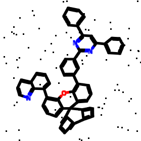 c1ccc(-c2cc(-c3ccccc3)nc(-c3cccc(-c4cccc5c4Oc4c(-c6cccc7cccnc67)cccc4C54c5ccccc5-c5ccccc54)c3)n2)cc1